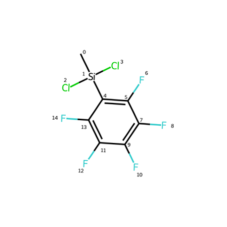 C[Si](Cl)(Cl)c1c(F)c(F)c(F)c(F)c1F